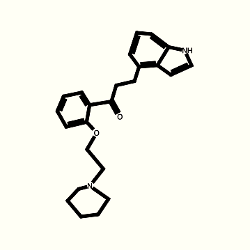 O=C(CCc1cccc2[nH]ccc12)c1ccccc1OCCN1CCCCC1